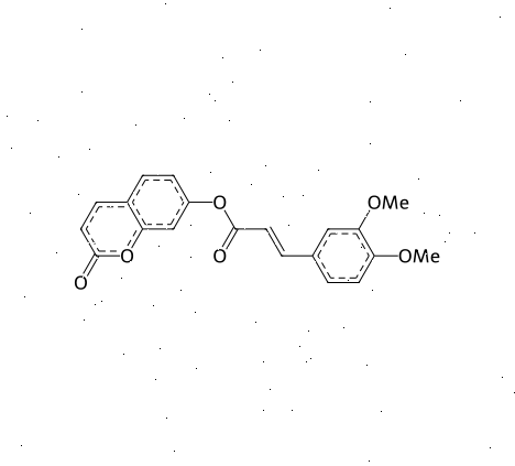 COc1ccc(C=CC(=O)Oc2ccc3ccc(=O)oc3c2)cc1OC